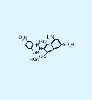 Nc1cc(S(=O)(=O)O)cc2cc(SOOO)c(N=Nc3cc([N+](=O)[O-])ccc3O)c(O)c12